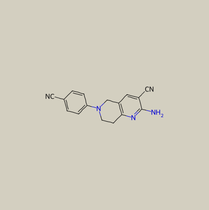 N#Cc1ccc(N2CCc3nc(N)c(C#N)cc3C2)cc1